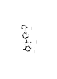 CC1CCCN1c1ccc(-c2nc3c(F)ccc(O)c3n2C)cn1